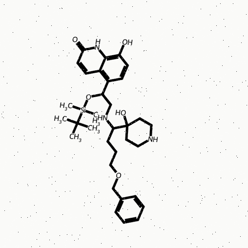 CC(C)(C)[Si](C)(C)OC(CNC(CCCOCc1ccccc1)C1(O)CCNCC1)c1ccc(O)c2[nH]c(=O)ccc12